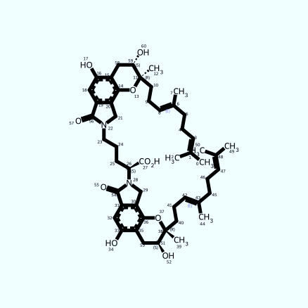 CC(C)=CCC/C(C)=C/CC[C@@]1(C)Oc2c(c(O)cc3c2CN(CCC[C@@H](C(=O)O)N2Cc4c(cc(O)c5c4O[C@](C)(CC/C=C(\C)CCC=C(C)C)[C@@H](O)C5)C2=O)C3=O)C[C@@H]1O